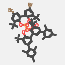 Cc1cc(C)c(-c2cc(-c3cc(-c4c(C)cc(C)cc4C)cc([Si](C)(C)C)c3Op3oc4c(C(C)(C)C)cc(Br)cc4c4cc(Br)cc(C(C)(C)C)c4o3)c(OP3OCC(=O)O3)c([Si](C)(C)C)c2)c(C)c1